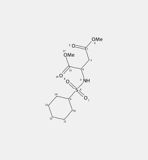 COC(=O)CC(NS(=O)(=O)C1CCCCC1)C(=O)OC